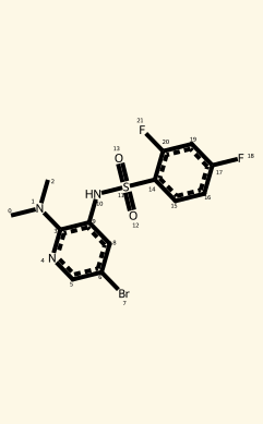 CN(C)c1ncc(Br)cc1NS(=O)(=O)c1ccc(F)cc1F